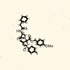 C=C(C)C(SS(=O)(=O)c1ccc(C)cc1)(C(=O)OCc1ccc(OC)cc1)N1CC(NC(=O)Cc2ccccc2)C1=O